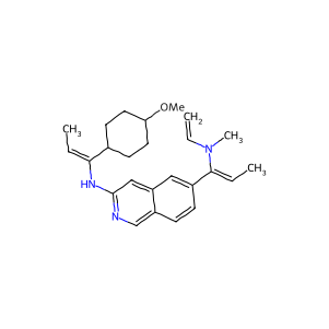 C=CN(C)/C(=C\C)c1ccc2cnc(N/C(=C/C)C3CCC(OC)CC3)cc2c1